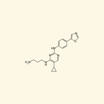 NCCCNc1nc(Nc2ccc(-c3cnco3)cc2)ncc1C1CC1